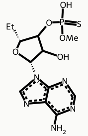 CC[C@H]1O[C@@H](n2cnc3c(N)ncnc32)C(O)C1OP(O)(=S)OC